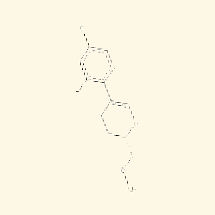 COC[C@@H]1CCC(c2ccc(F)cc2F)=CO1